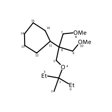 CCC(C)(CC)OCC(COC)(COC)C1CCCCC1